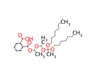 CCCCCCCOC(C)(OCCCCCCC)OC(C)OC(C)OC(=O)c1ccccc1C(=O)O